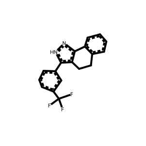 FC(F)(F)c1cccc(-c2[nH]nc3c2CCc2ccccc2-3)c1